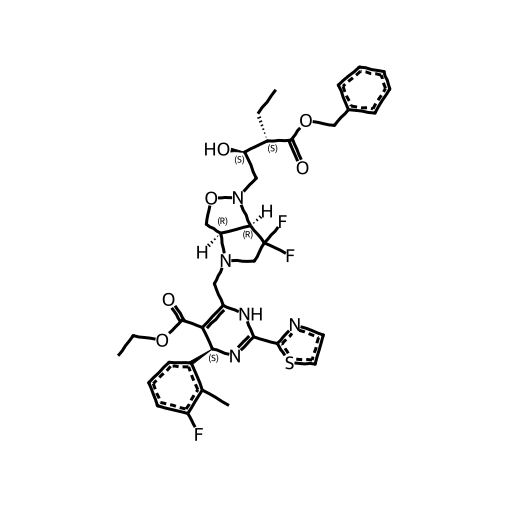 CCOC(=O)C1=C(CN2CC(F)(F)[C@H]3[C@@H]2CON3C[C@@H](O)[C@H](CC)C(=O)OCc2ccccc2)NC(c2nccs2)=N[C@H]1c1cccc(F)c1C